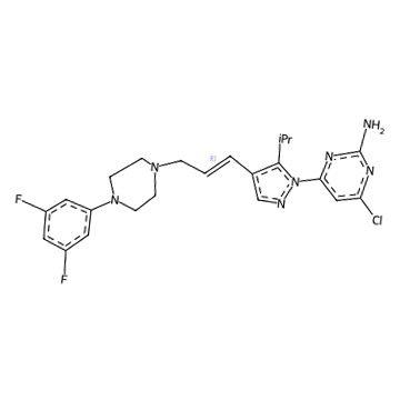 CC(C)c1c(/C=C/CN2CCN(c3cc(F)cc(F)c3)CC2)cnn1-c1cc(Cl)nc(N)n1